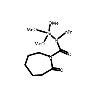 CCCN(C(=O)N1CCCCCC1=O)[Si](OC)(OC)OC